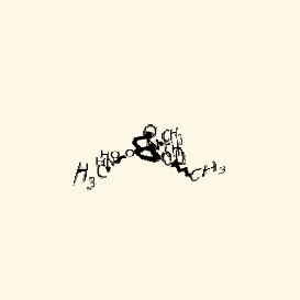 CCCCC(=O)COc1ccc(OCC(O)CNCC)c2c1N(C(C)C)C(=O)CC2